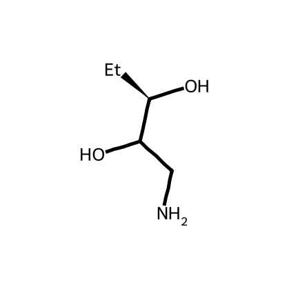 CC[C@@H](O)C(O)CN